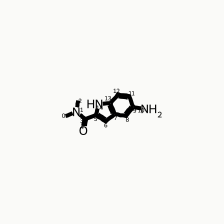 CN(C)C(=O)c1cc2cc(N)ccc2[nH]1